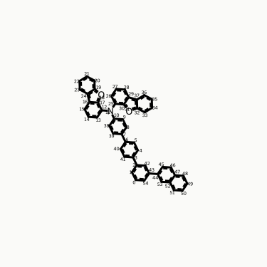 c1cc(-c2ccc(-c3ccc(N(c4cccc5c4oc4ccccc45)c4cccc5c4oc4ccccc45)cc3)cc2)cc(-c2ccc3ccccc3c2)c1